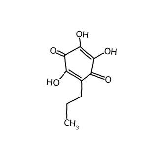 CCCC1=C(O)C(=O)C(O)=C(O)C1=O